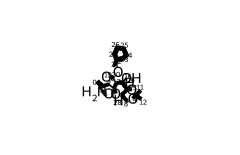 C=CC[C@]1(ON)O[C@@H]2COC(C)(C)O[C@H]2[C@H](O)[C@H]1C(=O)OCc1ccccc1